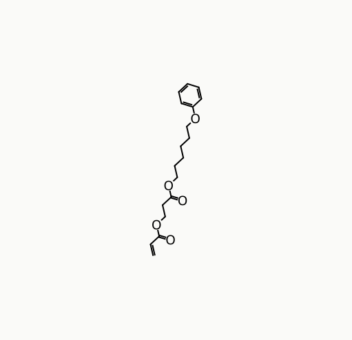 C=CC(=O)OCCC(=O)OCCCCCCOc1ccccc1